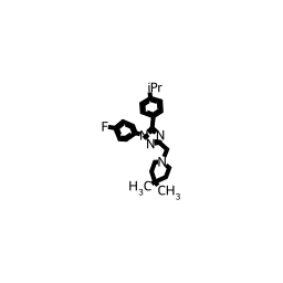 CC(C)c1ccc(-c2nc(CN3CCC(C)(C)CC3)nn2-c2ccc(F)cc2)cc1